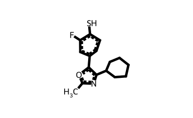 Cc1nc(C2CCCCC2)c(-c2ccc(S)c(F)c2)o1